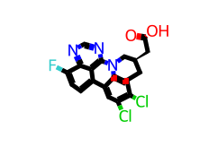 O=C(O)C[C@H]1CCCN(c2ncnc3c(F)ccc(-c4ccc(Cl)c(Cl)c4)c23)C1